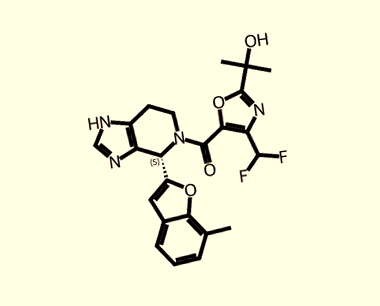 Cc1cccc2cc([C@@H]3c4nc[nH]c4CCN3C(=O)c3oc(C(C)(C)O)nc3C(F)F)oc12